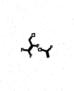 C=C(F)Cl.FC(F)=C(F)CCl